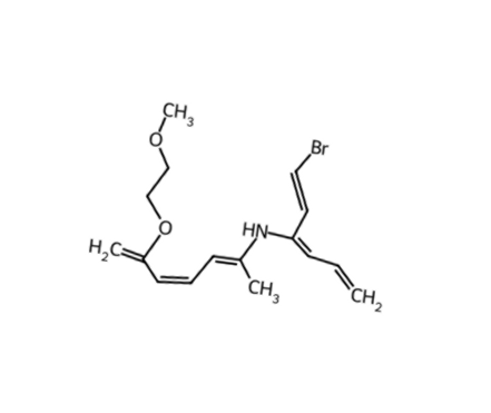 C=C/C=C(\C=C\Br)N/C(C)=C/C=C\C(=C)OCCOC